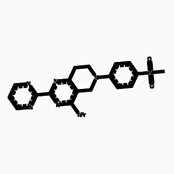 CCCc1nc(-c2ncccn2)nc2c1CN(c1ccc(S(C)(=O)=O)cc1)CC2